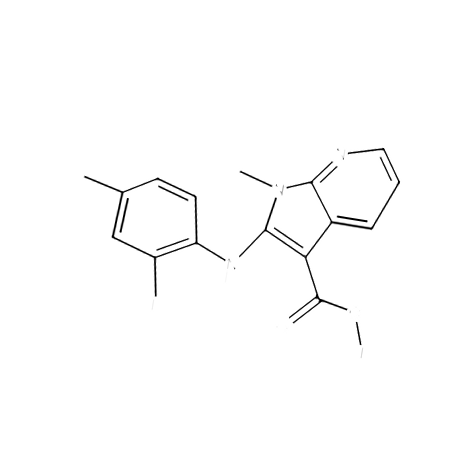 Cn1c(Nc2ccc(I)cc2F)c(C(=O)OI)c2cccnc21